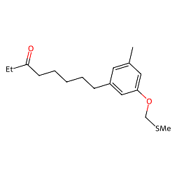 CCC(=O)CCCCCc1cc(C)cc(OCSC)c1